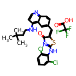 CC(C)(C)CCNc1ccnc2ccc(C=C3SC(Nc4c(Cl)cccc4Cl)=NC3=O)cc12.O=C(O)C(F)(F)F